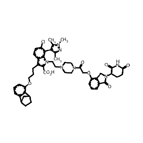 Cc1nn(C)c(C)c1-c1c(Cl)ccc2c(CCCOc3cccc4c3C3CCC4C3)c(C(=O)O)n(CCN3CCN(C(=O)COc4cccc5c4CN(C4CCC(=O)NC4=O)C5=O)CC3)c12